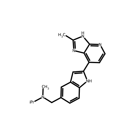 Cc1nc2c(-c3cc4cc(CN(C)C(C)C)ccc4[nH]3)ccnc2[nH]1